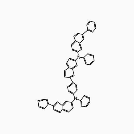 c1ccc(-c2ccc3ccc(N(c4ccccc4)c4ccc(-c5ccc6ccc(N(c7ccccc7)c7ccc8ccc(-c9ccccc9)cc8c7)cc6c5)cc4)cc3c2)cc1